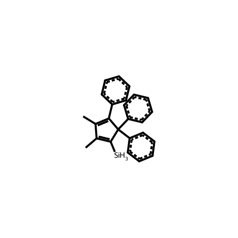 CC1=C([SiH3])C(c2ccccc2)(c2ccccc2)C(c2ccccc2)=C1C